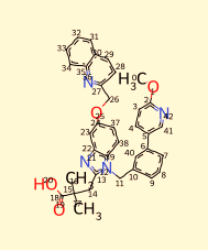 COc1ccc(-c2cccc(Cn3c(CC(C)(C)C(=O)O)nc4cc(OCc5ccc6ccccc6n5)ccc43)c2)cn1